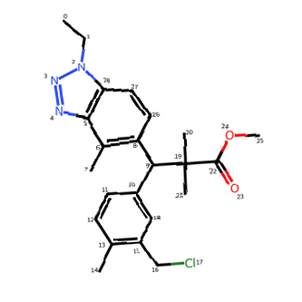 CCn1nnc2c(C)c(C(c3ccc(C)c(CCl)c3)C(C)(C)C(=O)OC)ccc21